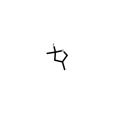 CC1CSC(C)(F)C1